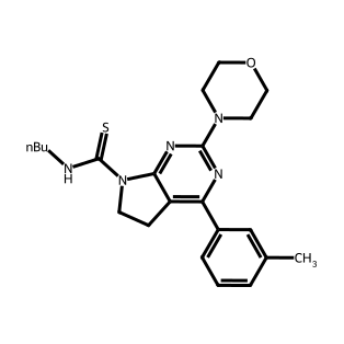 CCCCNC(=S)N1CCc2c(-c3cccc(C)c3)nc(N3CCOCC3)nc21